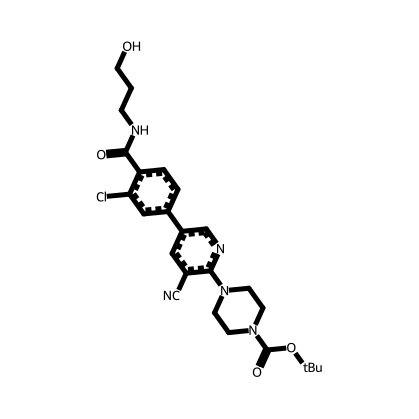 CC(C)(C)OC(=O)N1CCN(c2ncc(-c3ccc(C(=O)NCCCO)c(Cl)c3)cc2C#N)CC1